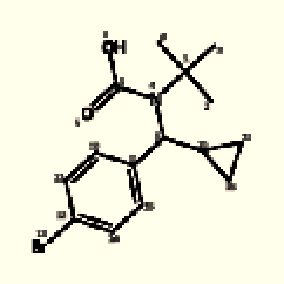 CC(C)(C)N(C(=O)O)C(c1ccc(Br)cc1)C1CC1